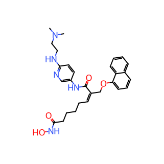 CN(C)CCNc1ccc(NC(=O)C(=CCCCCC(=O)NO)COc2cccc3ccccc23)cn1